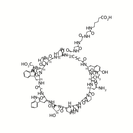 CCCC[C@H]1C(=O)N(C)[C@@H](CCCC)C(=O)N[C@@H](CC(C)C)C(=O)N[C@H](C(=O)NCC(=O)NCC(=O)NCC(=O)NCCCCC(=O)O)CSCC(=O)N[C@@H](Cc2ccc(O)cc2)C(=O)N(C)[C@@H](C)C(=O)N[C@@H](CC(N)=O)C(=O)N2CCC[C@H]2C(=O)N[C@@H](CN)C(=O)N[C@@H](CC(C)C)C(=O)N2C[C@H](O)C[C@@H]2C(=O)N[C@@H](Cc2c[nH]c3ccccc23)C(=O)NCC(=O)N[C@@H](Cc2cn(CC(=O)O)c3ccccc23)C(=O)N1C